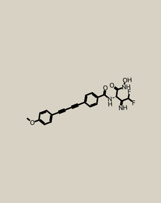 COc1ccc(C#CC#Cc2ccc(C(=O)N[C@@H](C(=N)C(F)F)C(=O)NO)cc2)cc1